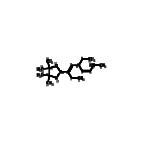 CC/C(=C\N(/C=C\NC)CC)B1OC(C)(C)C(C)(C)O1